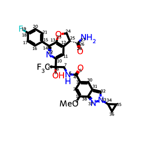 COc1cc(C(=O)NCC(O)(c2cc3c(c(-c4ccc(F)cc4)n2)OC[C@@H]3C(N)=O)C(F)(F)F)cc2cn(C3CC3)nc12